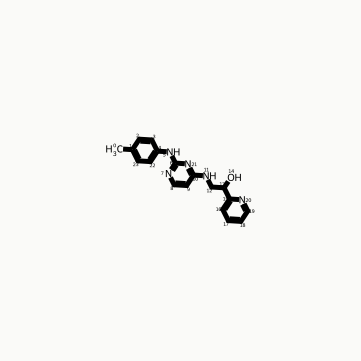 Cc1ccc(Nc2nccc(NCC(O)c3ccccn3)n2)cc1